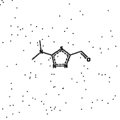 CN(C)c1nnc(C=O)s1